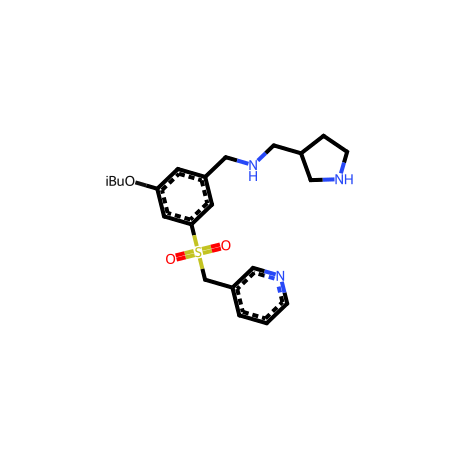 CC(C)COc1cc(CNCC2CCNC2)cc(S(=O)(=O)Cc2cccnc2)c1